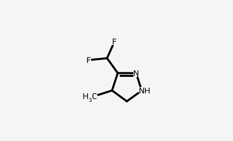 CC1CNN=C1C(F)F